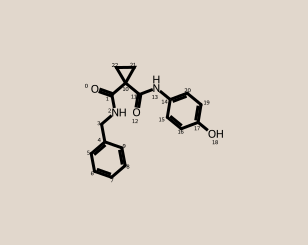 O=C(NCc1ccccc1)C1(C(=O)Nc2ccc(O)cc2)CC1